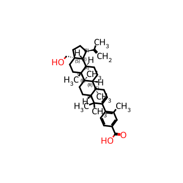 C=C(C)[C@@H]1CC[C@]2(CO)CC[C@]3(C)[C@H](CC[C@@H]4[C@@]5(C)CC=C(c6ccc(C(=O)O)cc6C)C(C)(C)[C@@H]5CC[C@]43C)[C@@H]12